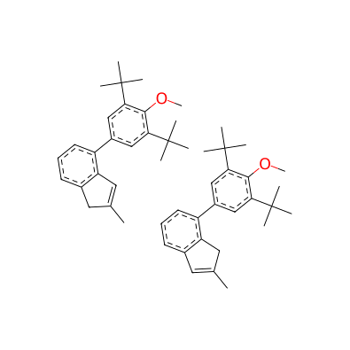 COc1c(C(C)(C)C)cc(-c2cccc3c2C=C(C)C3)cc1C(C)(C)C.COc1c(C(C)(C)C)cc(-c2cccc3c2CC(C)=C3)cc1C(C)(C)C